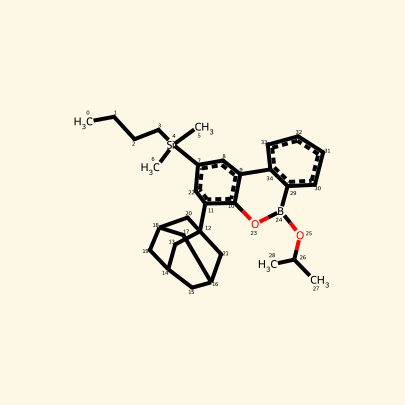 CCCC[Si](C)(C)c1cc2c(c(C34CC5CC(CC(C5)C3)C4)c1)OB(OC(C)C)c1ccccc1-2